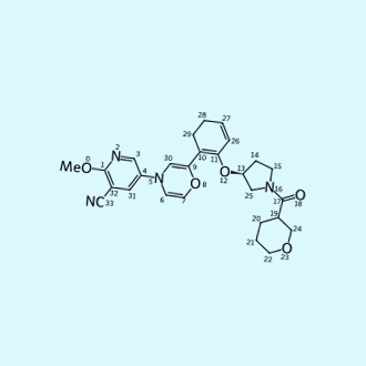 COc1ncc(N2C=COC(C3=C(O[C@H]4CCN(C(=O)C5CCCOC5)C4)C=CCC3)=C2)cc1C#N